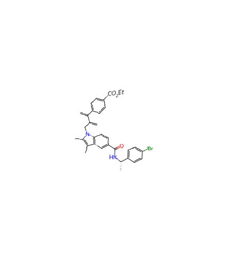 C=C(Cn1c(C)c(C)c2cc(C(=O)N[C@@H](C)c3ccc(Br)cc3)ccc21)C(=C)c1ccc(C(=O)OCC)cc1